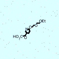 CCOCCOCCOc1ccc(C2OC2C(=O)O)cn1